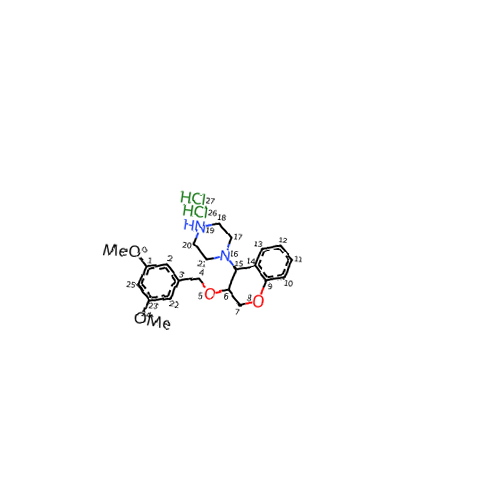 COc1cc(COC2COc3ccccc3C2N2CCNCC2)cc(OC)c1.Cl.Cl